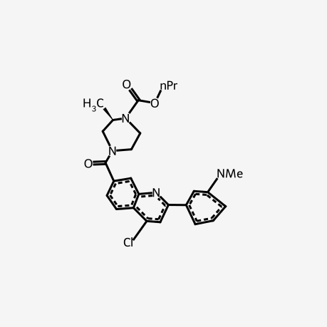 CCCOC(=O)N1CCN(C(=O)c2ccc3c(Cl)cc(-c4cccc(NC)c4)nc3c2)C[C@H]1C